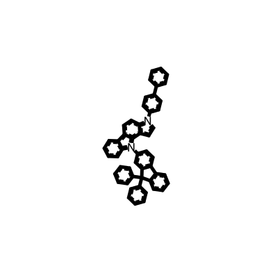 c1ccc(-c2ccc(-n3ccc4c3ccc3c5ccccc5n(-c5ccc6c(c5)C(c5ccccc5)(c5ccccc5)c5ccccc5-6)c34)cc2)cc1